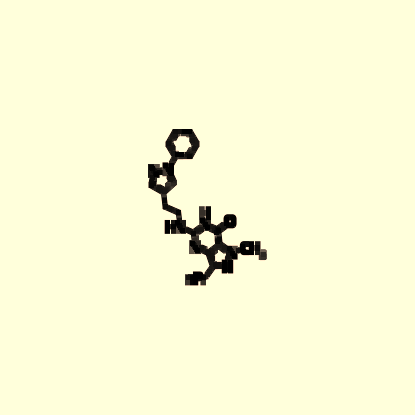 CCCc1nn(C)c2c(=O)[nH]c(NCCc3cnn(-c4ccccc4)c3)nc12